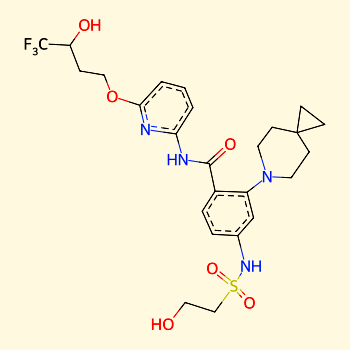 O=C(Nc1cccc(OCCC(O)C(F)(F)F)n1)c1ccc(NS(=O)(=O)CCO)cc1N1CCC2(CC1)CC2